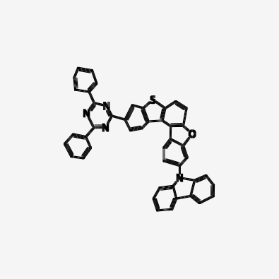 c1ccc(-c2nc(-c3ccccc3)nc(-c3ccc4c(c3)sc3ccc5oc6cc(-n7c8ccccc8c8ccccc87)ccc6c5c34)n2)cc1